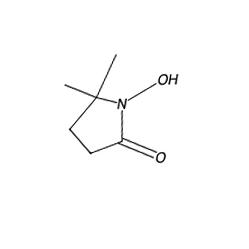 CC1(C)CCC(=O)N1O